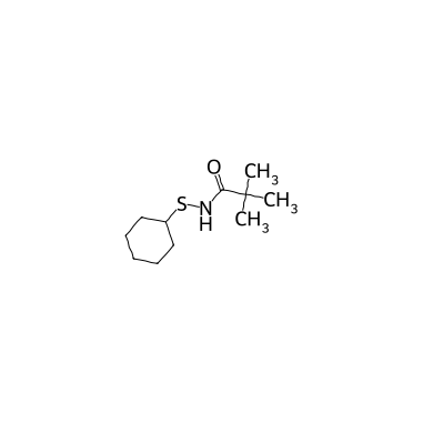 CC(C)(C)C(=O)NSC1CCCCC1